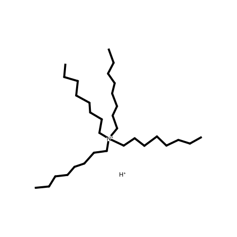 CCCCCCCC[N+](CCCCCCCC)(CCCCCCCC)CCCCCCCC.[H+]